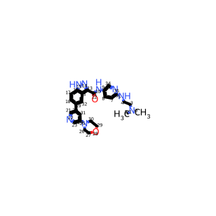 CN(C)CCNc1ccc(NC(=O)c2n[nH]c3ccc(-c4cncc(N5CCOCC5)c4)cc23)cn1